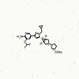 CO[C@H]1CCN([C@H]2C[C@@H]3[C@H](C2)[C@H]3c2cc(-c3cnc(N)c(OC(F)F)c3)nn2CC2CC2)C1